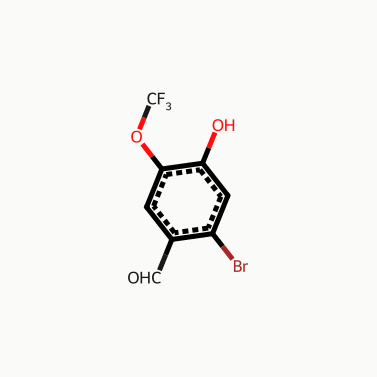 O=Cc1cc(OC(F)(F)F)c(O)cc1Br